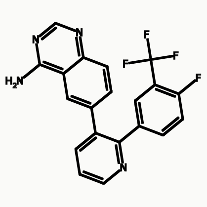 Nc1ncnc2ccc(-c3cccnc3-c3ccc(F)c(C(F)(F)F)c3)cc12